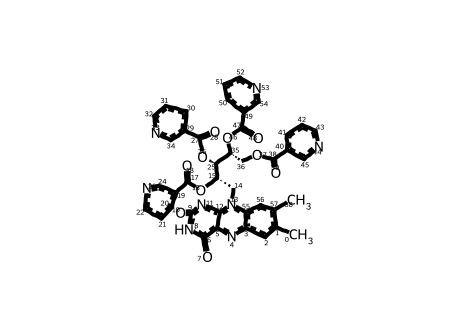 Cc1cc2nc3c(=O)[nH]c(=O)nc-3n(C[C@H](OC(=O)c3cccnc3)[C@H](OC(=O)c3cccnc3)[C@@H](COC(=O)c3cccnc3)OC(=O)c3cccnc3)c2cc1C